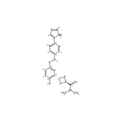 CN(C)C(=O)[C@H]1C[C@H](c2cc(COc3ccc(-c4ccn[nH]4)nc3)ccc2F)C1